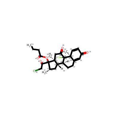 CCCC(=O)OC1(C(=O)CCl)[C@@H](C)C[C@H]2[C@@H]3CCC4=CC(=O)C=C[C@]4(C)[C@@]3(F)C(=O)C[C@@]21C